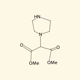 COC(=O)C(C(=O)OC)N1CCNCC1